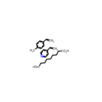 C=Cc1ccc(C)cc1.C=Cc1ccncc1.CCCCCCCCCCCCCCCCCC(=O)O